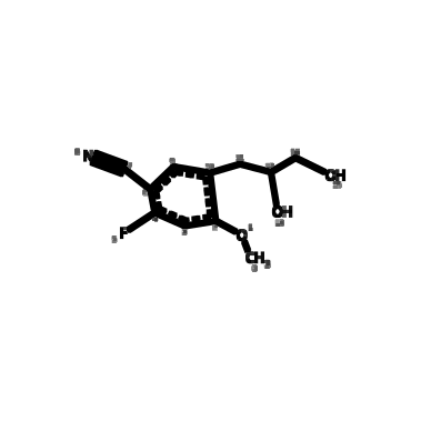 COc1cc(F)c(C#N)cc1CC(O)CO